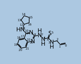 C=CCNC(=S)NNc1nc(NC2CCCC2)c2ccccc2n1